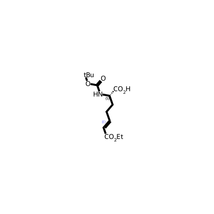 CCOC(=O)/C=C/CC[C@H](NC(=O)OC(C)(C)C)C(=O)O